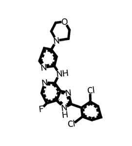 Fc1cnc(Nc2cc(N3CCOCC3)ccn2)c2nc(-c3c(Cl)cccc3Cl)[nH]c12